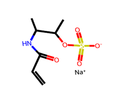 C=CC(=O)NC(C)C(C)OS(=O)(=O)[O-].[Na+]